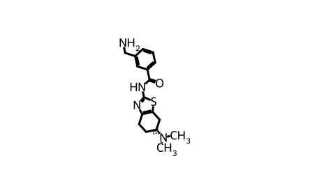 CN(C)[C@H]1CCc2nc(NC(=O)c3cccc(CN)c3)sc2C1